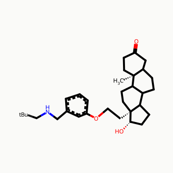 CC(C)(C)CNCc1cccc(OCC[C@]23CCC4C(CCC5CC(=O)CC[C@@]54C)C2CC[C@@H]3O)c1